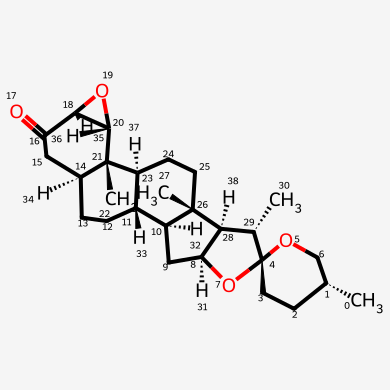 C[C@@H]1CC[C@@]2(OC1)O[C@H]1C[C@H]3[C@@H]4CC[C@H]5CC(=O)[C@@H]6O[C@@H]6[C@]5(C)[C@H]4CC[C@]3(C)[C@H]1[C@@H]2C